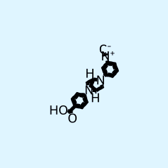 [C-]#[N+]c1cccc(N2C[C@@H]3C[C@H]2CN3c2ccc(C(=O)O)cc2)c1